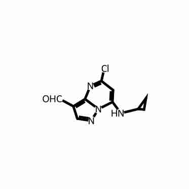 O=Cc1cnn2c(NC3CC3)cc(Cl)nc12